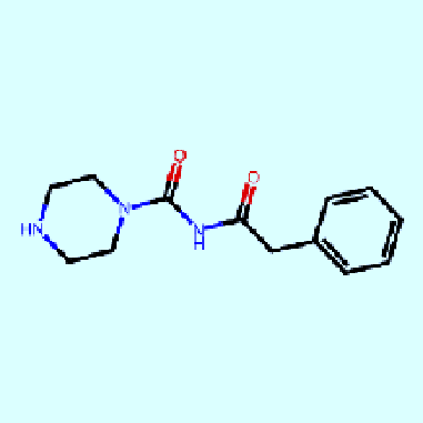 O=C(Cc1ccccc1)NC(=O)N1CCNCC1